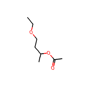 CCOCCC(C)OC(C)=O